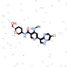 CC(C)Nc1cc(-c2cnn3cc(Cl)cnc23)ncc1C(=O)NC1CC[C@@H](CO)OC1